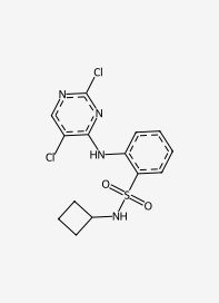 O=S(=O)(NC1CCC1)c1ccccc1Nc1nc(Cl)ncc1Cl